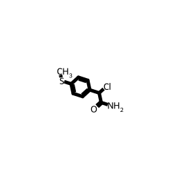 CSc1ccc(C(Cl)C(N)=O)cc1